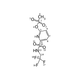 CS(=O)(=O)Oc1cccc(S(=O)(=O)NCC(F)(F)F)n1